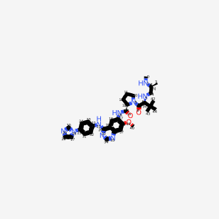 CN[C@@H](C)CN[C@H](C(=O)N1CCC[C@H]1C(=O)Nc1cc2c(Nc3ccc(-n4ccnc4)cc3)ncnc2cc1OC)C(C)(C)C